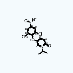 CC(C)n1cc(Oc2c(Cl)cc([N+](=O)[O-])cc2Cl)ccc1=O